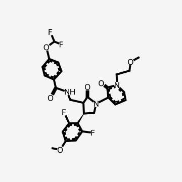 COCCn1cccc(N2C[C@@H](c3c(F)cc(OC)cc3F)C(CNC(=O)c3ccc(OC(F)F)cc3)C2=O)c1=O